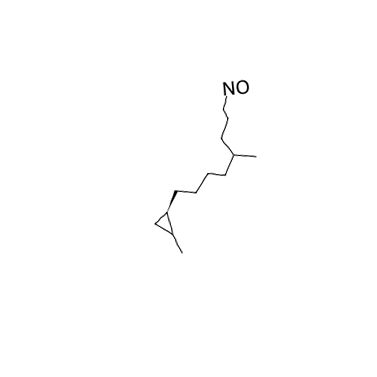 CC(CCCC[C@@H]1CC1C)CCCN=O